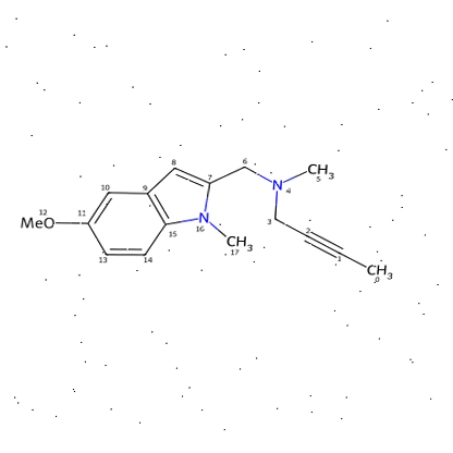 CC#CCN(C)Cc1cc2cc(OC)ccc2n1C